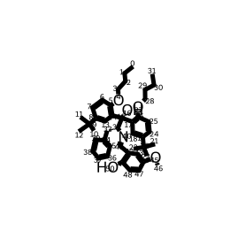 CCCCOc1ccc(C(C)(C)C)cc1C(O)(c1cc(C(C)(C)C)ccc1OCCCC)[C@@H](Cc1ccccc1)N=Cc1cc(OC)ccc1O